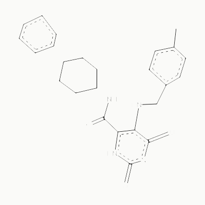 O=C(N[C@H]1CC[C@@H](c2ccccc2)CC1)c1[nH]c(=O)[nH]c(=O)c1NCc1ccc(F)cc1